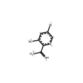 N#Cc1cc(Br)cnc1C(=N)N